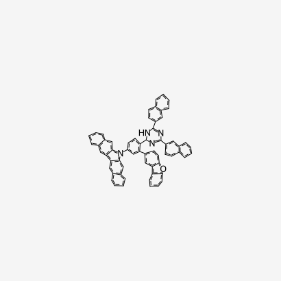 c1ccc2cc(C3=NC(c4ccc(-n5c6cc7ccccc7cc6c6cc7ccccc7cc65)cc4-c4ccc5oc6ccccc6c5c4)NC(c4ccc5ccccc5c4)=N3)ccc2c1